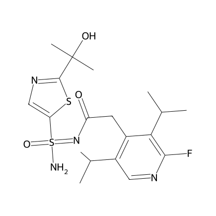 CC(C)c1cnc(F)c(C(C)C)c1CC(=O)N=S(N)(=O)c1cnc(C(C)(C)O)s1